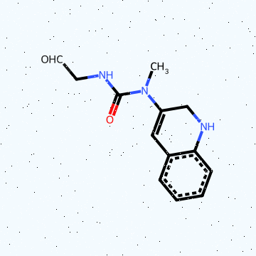 CN(C(=O)NCC=O)C1=Cc2ccccc2NC1